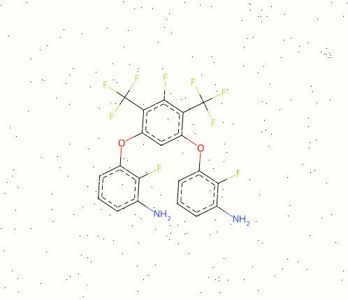 Nc1cccc(Oc2cc(Oc3cccc(N)c3F)c(C(F)(F)F)c(F)c2C(F)(F)F)c1F